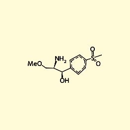 COC[C@@H](N)[C@H](O)c1ccc(S(C)(=O)=O)cc1